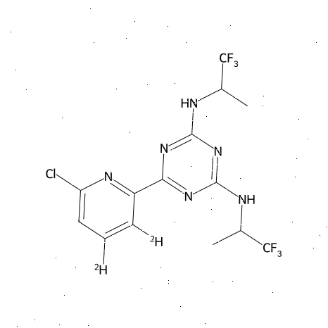 [2H]c1cc(Cl)nc(-c2nc(NC(C)C(F)(F)F)nc(NC(C)C(F)(F)F)n2)c1[2H]